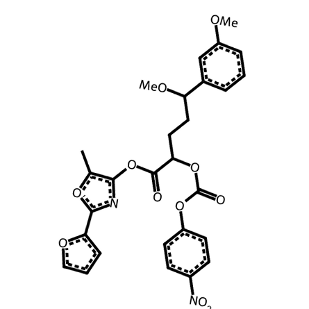 COc1cccc(C(CCC(OC(=O)Oc2ccc([N+](=O)[O-])cc2)C(=O)Oc2nc(-c3ccco3)oc2C)OC)c1